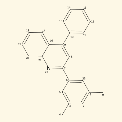 Cc1cc(C)cc(-c2cc(-c3ccccc3)c3ccccc3n2)c1